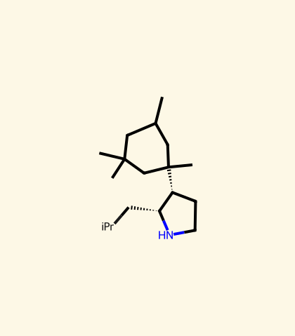 CC(C)C[C@H]1NCC[C@H]1C1(C)CC(C)CC(C)(C)C1